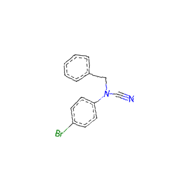 N#CN(Cc1ccccc1)c1ccc(Br)cc1